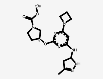 CC1=NNC(Nc2cc(N3CCC3)nc(O[C@H]3CCN(C(=O)OC(C)(C)C)C3)n2)C1